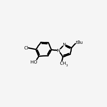 Cc1cc(C(C)(C)C)nn1-c1ccc(Cl)c(O)c1